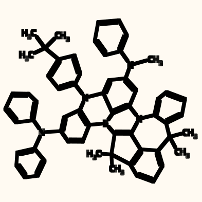 CN(c1ccccc1)c1cc2c3c(c1)N(c1ccc(C(C)(C)C)cc1)c1cc(N(c4ccccc4)c4ccccc4)ccc1B3C1=C3c4c(cccc4C(C)(C)c4ccccc4N32)C1(C)C